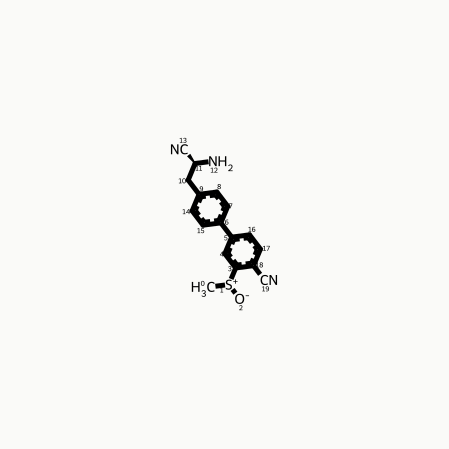 C[S+]([O-])c1cc(-c2ccc(C[C@H](N)C#N)cc2)ccc1C#N